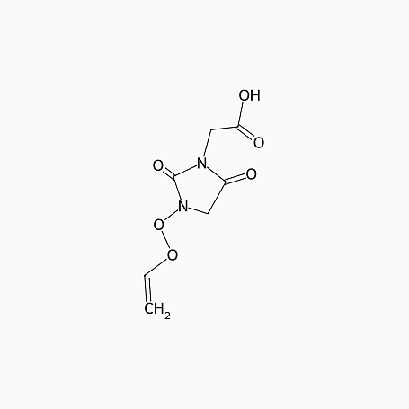 C=COON1CC(=O)N(CC(=O)O)C1=O